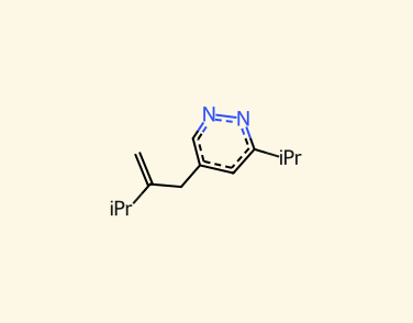 C=C(Cc1cnnc(C(C)C)c1)C(C)C